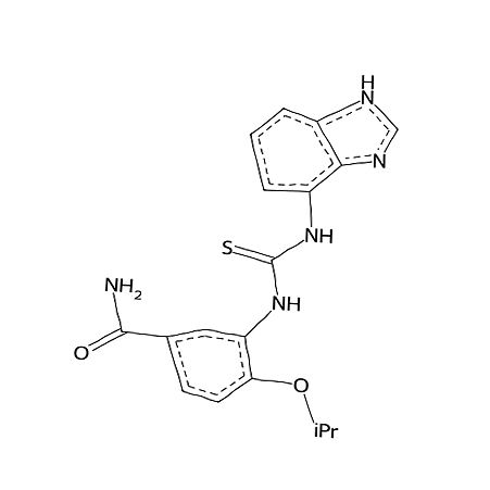 CC(C)Oc1ccc(C(N)=O)cc1NC(=S)Nc1cccc2[nH]cnc12